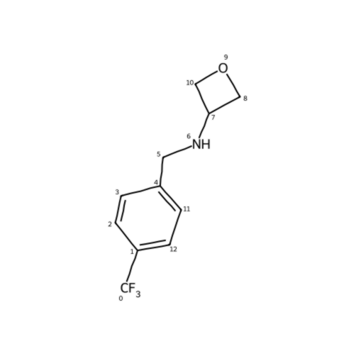 FC(F)(F)c1ccc(CNC2COC2)cc1